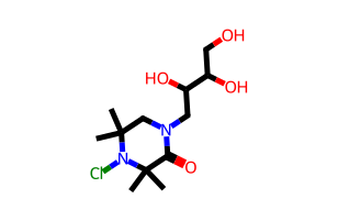 CC1(C)CN(CC(O)C(O)CO)C(=O)C(C)(C)N1Cl